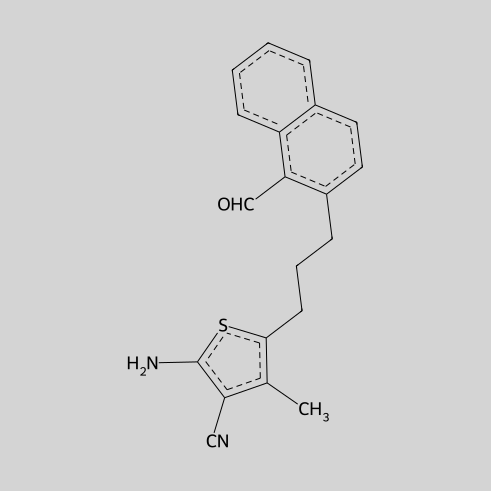 Cc1c(CCCc2ccc3ccccc3c2C=O)sc(N)c1C#N